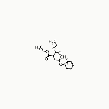 C=C(CC(C(=O)OCC)C(=O)OCC)O[n+]1ccccc1